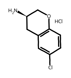 Cl.N[C@H]1COc2ccc(Cl)cc2C1